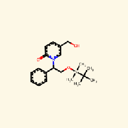 CC(C)(C)[Si](C)(C)OCC(c1ccccc1)n1cc(CO)ccc1=O